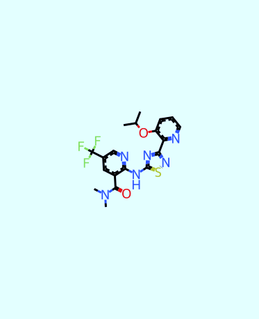 CC(C)Oc1cccnc1-c1nsc(Nc2ncc(C(F)(F)F)cc2C(=O)N(C)C)n1